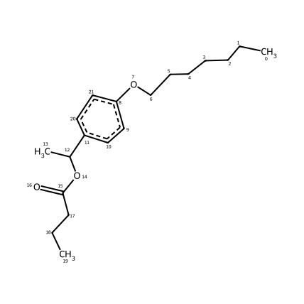 CCCCCCCOc1ccc(C(C)OC(=O)CCC)cc1